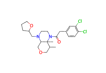 CC1COCC2N(CC3CCCO3)CCN(C(=O)Cc3ccc(Cl)c(Cl)c3)C12C